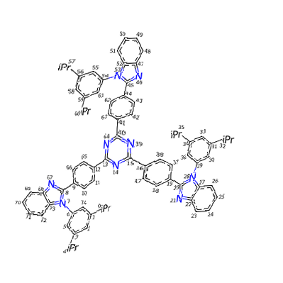 CC(C)c1cc(C(C)C)cc(-n2c(-c3ccc(-c4nc(-c5ccc(-c6nc7ccccc7n6-c6cc(C(C)C)cc(C(C)C)c6)cc5)nc(-c5ccc(-c6nc7ccccc7n6-c6cc(C(C)C)cc(C(C)C)c6)cc5)n4)cc3)nc3ccccc32)c1